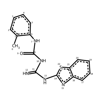 Cc1ccccc1NC(=O)NC(=N)Nc1nc2ccccc2s1